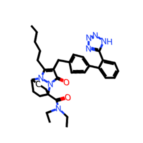 CCCCCc1c(Cc2ccc(-c3ccccc3-c3nnn[nH]3)cc2)c(=O)n2n1C1CCC2(C(=O)N(CC)CC)CC1